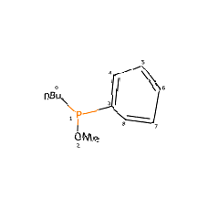 CCCCP(OC)c1ccccc1